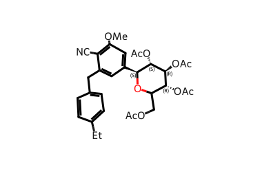 CCc1ccc(Cc2cc([C@@H]3OC(COC(C)=O)[C@@H](OC(C)=O)[C@H](OC(C)=O)[C@H]3OC(C)=O)cc(OC)c2C#N)cc1